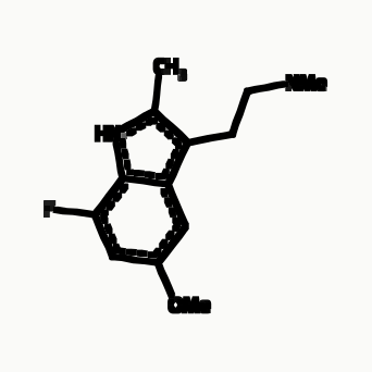 CNCCc1c(C)[nH]c2c(F)cc(OC)cc12